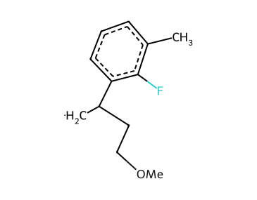 [CH2]C(CCOC)c1cccc(C)c1F